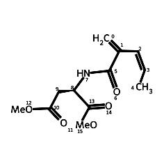 C=C(/C=C\C)C(=O)N[C@H](CC(=O)OC)C(=O)OC